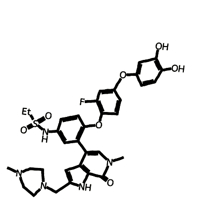 CCS(=O)(=O)Nc1ccc(Oc2ccc(Oc3ccc(O)c(O)c3)cc2F)c(-c2cn(C)c(=O)c3[nH]c(CN4CCN(C)CC4)cc23)c1